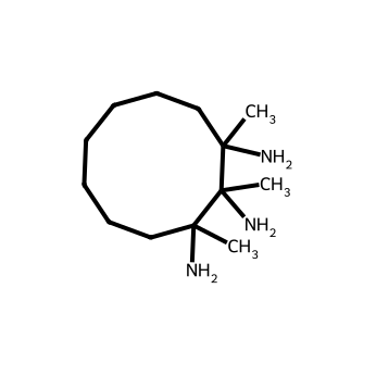 CC1(N)CCCCCCCC(C)(N)C1(C)N